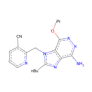 CCCCc1nc2c(N)nnc(OC(C)C)c2n1Cc1ncccc1C#N